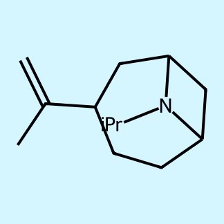 C=C(C)C1CCC2CC(C1)N2C(C)C